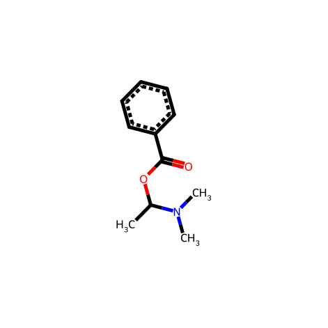 CC(OC(=O)c1ccccc1)N(C)C